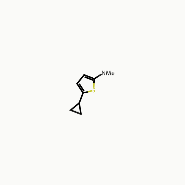 CNc1ccc(C2CC2)s1